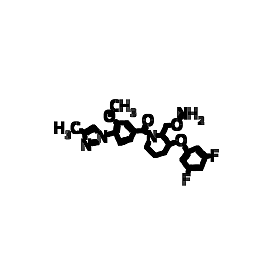 COc1cc(C(=O)N2CCCC(Oc3cc(F)cc(F)c3)C2CON)ccc1-n1cnc(C)c1